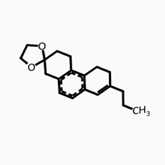 CCCC1=Cc2ccc3c(c2CC1)CCC1(C3)OCCO1